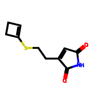 O=C1C=C(CCSC2=CCC2)C(=O)N1